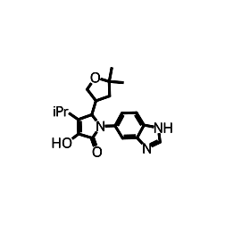 CC(C)C1=C(O)C(=O)N(c2ccc3[nH]cnc3c2)C1C1COC(C)(C)C1